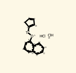 C1=CC[C]([Ti][O]c2cccc3ccccc23)=C1.Cl.Cl